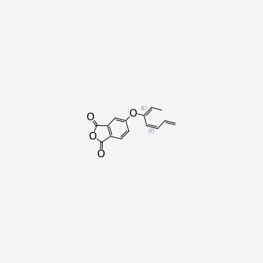 C=C/C=C\C(=C/C)Oc1ccc2c(c1)C(=O)OC2=O